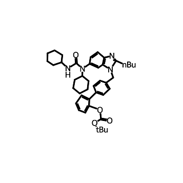 CCCCc1nc2ccc(N(C(=O)NC3CCCCC3)C3CCCCC3)cc2n1Cc1ccc(-c2ccccc2OC(=O)OC(C)(C)C)cc1